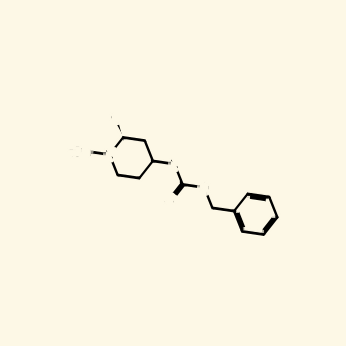 C[C@H]1CC(NC(=O)OCc2ccccc2)CCN1C(C)(C)C